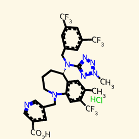 Cc1cc2c(cc1C(F)(F)F)N(Cc1cncc(C(=O)O)c1)CCC[C@@H]2N(Cc1cc(C(F)(F)F)cc(C(F)(F)F)c1)c1nnn(C)n1.Cl